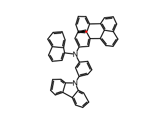 c1ccc(-c2cccc3cccc(-c4cccc(N(c5cccc(-n6c7ccccc7c7ccccc76)c5)c5cccc6ccccc56)c4)c23)cc1